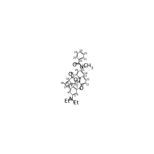 CCN(CC)c1ccc2c(c1)Oc1ccc3cc(N(C)C(=O)c4ccccc4)ccc3c1C21OC(=O)c2ccccc21